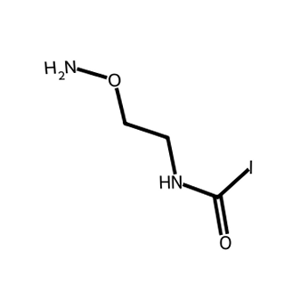 NOCCNC(=O)I